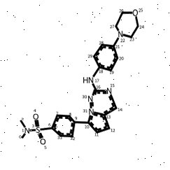 CN(C)S(=O)(=O)c1ccc(-c2ccc3cnc(Nc4ccc(N5CCOCC5)cc4)nn23)cc1